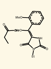 CCC(=O)O.CCN1C(=O)NC(=C(OC)c2ccccc2OC)C1=O